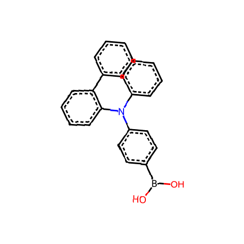 OB(O)c1ccc(N(c2ccccc2)c2ccccc2-c2ccccc2)cc1